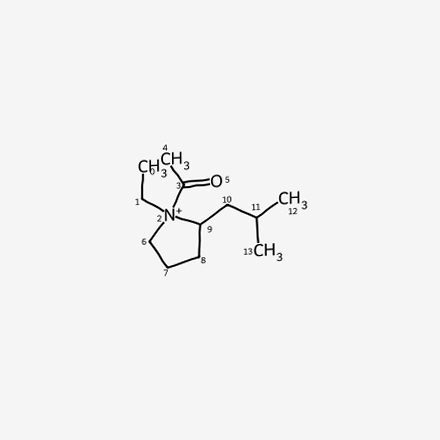 CC[N+]1(C(C)=O)CCCC1CC(C)C